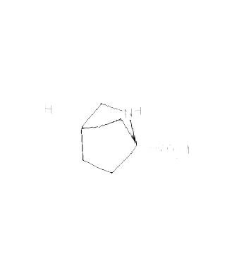 O=C(O)[C@@]12CC[C@@H](CN1)C2